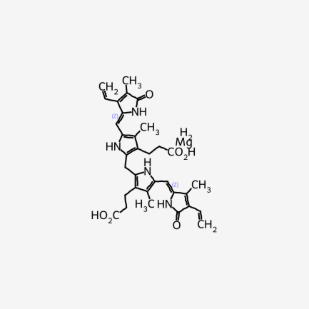 C=CC1=C(C)/C(=C/c2[nH]c(Cc3[nH]c(/C=C4\NC(=O)C(C)=C4C=C)c(C)c3CCC(=O)O)c(CCC(=O)O)c2C)NC1=O.[MgH2]